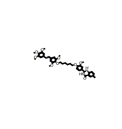 COc1cc(C2NC(=O)c3cc(C)ccc3N2)ccc1OCCCCCCOc1c(OC)cc(/C=C/c2cc(OC)c(OC)c(OC)c2)cc1OC